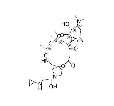 CO[C@]1(C)C[C@@H](C)CNCC2(CCN(C(O)CNC3CC3)C2)OC(=O)CC(=O)[C@H](C)[C@H]1O[C@@H]1O[C@H](C)C[C@H](N(C)C)[C@H]1O